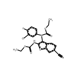 CCOC(=O)Nc1oc2cc(C#N)ccc2c1N(C(=O)OCC)c1ccc(F)c(Cl)c1